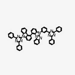 c1ccc(-c2nc(-c3ccccc3)nc(-c3cccc(-n4c5cccc(-c6cccc7c6c6ccccc6n7-c6nc(-c7ccccc7)nc(-c7ccccc7)n6)c5n5c6ccccc6nc45)c3)n2)cc1